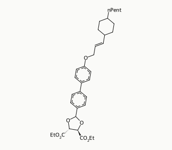 CCCCCC1CCC(C=CCOc2ccc(-c3ccc(C4O[C@@H](C(=O)OCC)[C@H](C(=O)OCC)O4)cc3)cc2)CC1